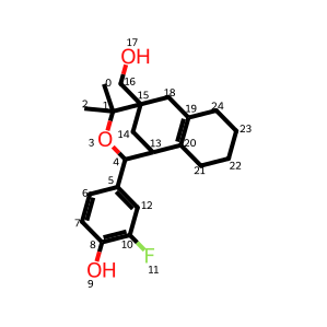 CC1(C)OC(c2ccc(O)c(F)c2)C2CC1(CO)CC1=C2CCCC1